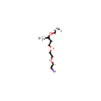 CCOC(C)CCOCCOCCI